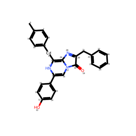 Cc1cc[c]([Cd][c]2[nH]c(-c3ccc(O)cc3)cn3c(=O)c(Cc4ccccc4)nc2-3)cc1